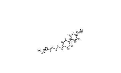 CO/C=C/CCCC1CCC(c2ccc(C#N)cc2)CC1